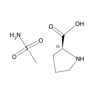 CS(N)(=O)=O.O=C(O)[C@@H]1CCCN1